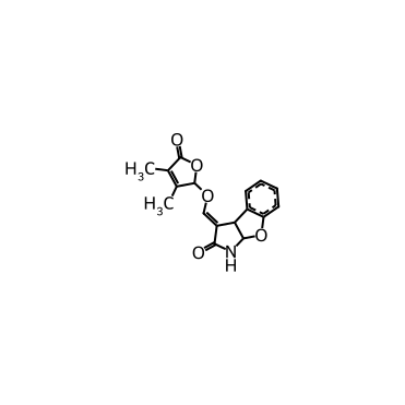 CC1=C(C)C(O/C=C2/C(=O)NC3Oc4ccccc4C23)OC1=O